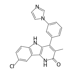 Cc1c(-c2cccc(-n3ccnc3)c2)c2[nH]c3ccc(Cl)cc3c2[nH]c1=O